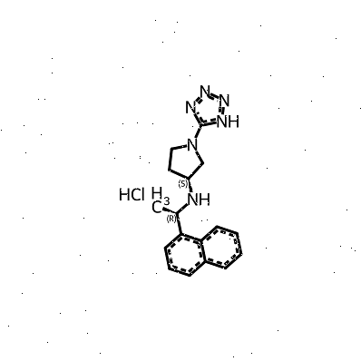 C[C@@H](N[C@H]1CCN(c2nnn[nH]2)C1)c1cccc2ccccc12.Cl